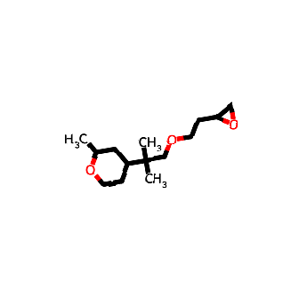 CC1CC(C(C)(C)COCCC2CO2)CCO1